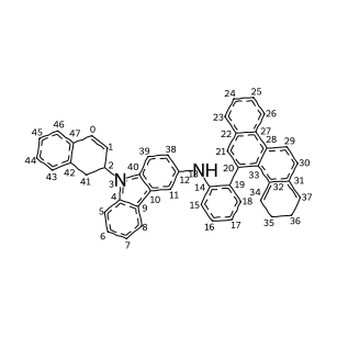 C1=CC(n2c3ccccc3c3cc(Nc4ccccc4-c4cc5ccccc5c5ccc6c(c45)=CCCC=6)ccc32)Cc2ccccc21